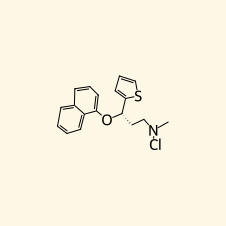 CN(Cl)CC[C@H](Oc1cccc2ccccc12)c1cccs1